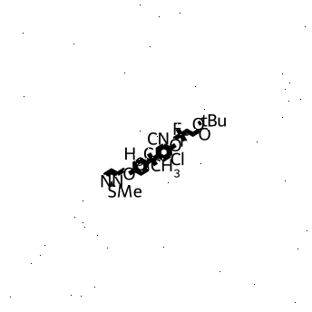 CSc1nccc(COc2ccc(C(C)(C)c3cc(Cl)c(OCC(F)(F)CCC(=O)OC(C)(C)C)c(C#N)c3)cc2)n1